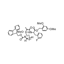 COc1ccc(COC(=O)C(Cc2ccccc2F)NC(=O)[C@H](C)[C@@H](OC)[C@@H]2C[C@@H]3C[C@@H]3N2C(=O)OCC2c3ccccc3-c3ccccc32)c(OC)c1